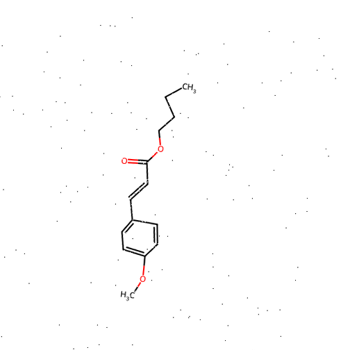 CCCCOC(=O)C=Cc1ccc(OC)cc1